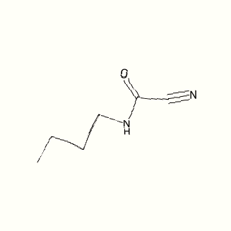 CCCCNC(=O)C#N